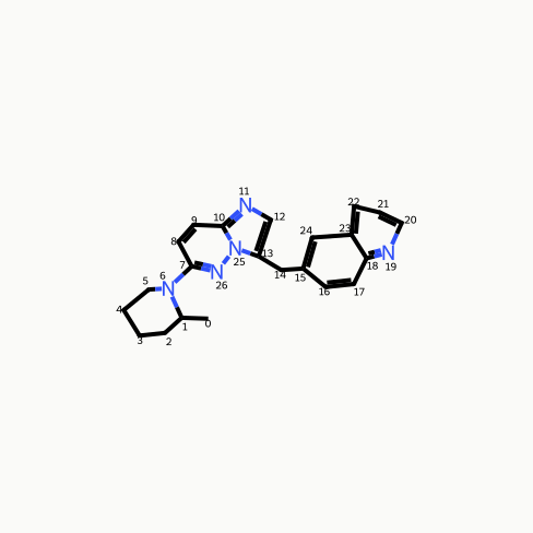 CC1CCCCN1c1ccc2ncc(Cc3ccc4ncccc4c3)n2n1